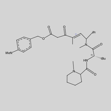 CNc1ccc(COC(=O)CC(=O)/C(C)=C/C(C(C)C)N(C)C(=O)[C@@H](NC(=O)C2CCCCN2C)C(C)(C)C)cc1